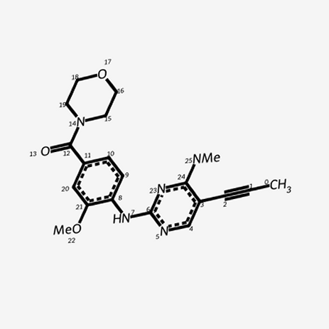 CC#Cc1cnc(Nc2ccc(C(=O)N3CCOCC3)cc2OC)nc1NC